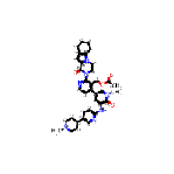 CC(=O)OCc1c(-c2cc(Nc3ccc(C4CCN(C)CC4)cn3)c(=O)n(C)c2)ccnc1N1CCn2c(cc3c2CCCC3)C1=O